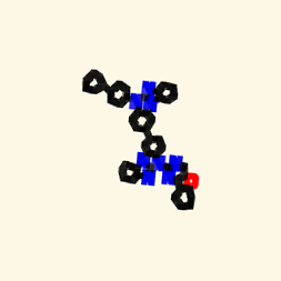 c1ccc(-c2ccc(-n3c4ccc(-c5ccc6c(c5)n5c7ccccc7nc5n6-c5ncc6oc7ccccc7c6n5)cc4n4c5ccccc5nc34)cc2)cc1